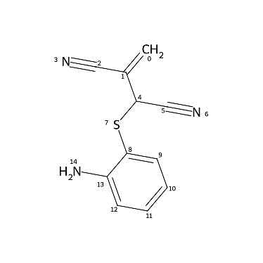 C=C(C#N)C(C#N)Sc1ccccc1N